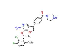 COc1ccc(F)c(Cl)c1[C@@H](C)Oc1c(N)ncc2c(-c3ccc(C(=O)N4CCNCC4)cc3)coc12